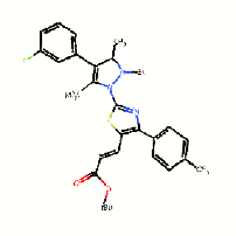 CCN1C(C)C(c2cccc(F)c2)=C(C(=O)O)N1c1nc(-c2ccc(C(F)(F)F)cc2)c(C=CC(=O)OC(C)(C)C)s1